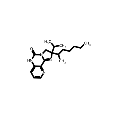 CCCCCC(C)C1(C(C)C)CN2C(=O)Nc3cccnc3C2=N1